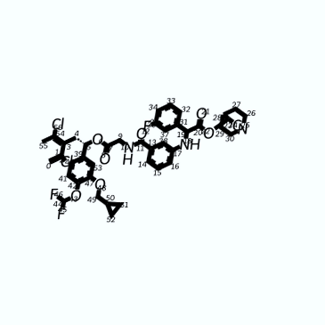 C=C(Cl)/C(C[C@H](OC(=O)CNC(=O)c1cccc(NC(C(=O)OC2CN3CCC2CC3)c2cccc(F)c2)c1)c1ccc(OC(F)F)c(OCC2CC2)c1)=C(\C)Cl